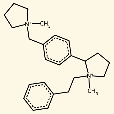 C[N+]1(Cc2ccc(C3CCC[N+]3(C)CCc3ccccc3)cc2)CCCC1